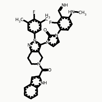 CNc1ccc(-n2ccn(-c3c4c(nn3-c3cc(C)c(F)c(C)c3)CCN(C(=O)c3cc5ccccc5[nH]3)C4)c2=O)c(F)c1C=N